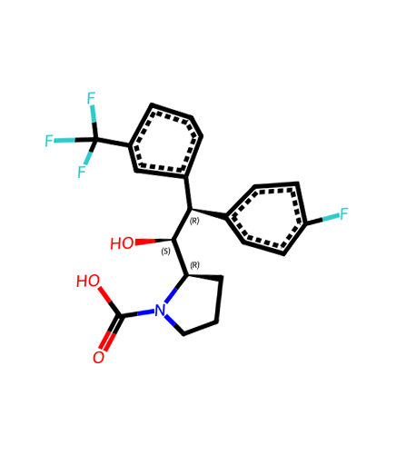 O=C(O)N1CCC[C@@H]1[C@@H](O)[C@H](c1ccc(F)cc1)c1cccc(C(F)(F)F)c1